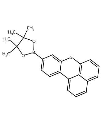 CC1(C)OB(c2ccc3c(c2)Sc2cccc4cccc-3c24)OC1(C)C